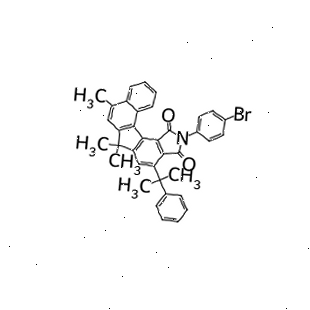 Cc1cc2c(c3ccccc13)-c1c(cc(C(C)(C)c3ccccc3)c3c1C(=O)N(c1ccc(Br)cc1)C3=O)C2(C)C